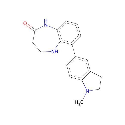 CN1CCc2cc(-c3cccc4c3NCCC(=O)N4)ccc21